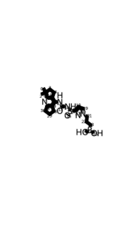 CC1(C)CCc2c1nc1c(c2NC(=O)N[S+]([O-])c2ccn(CCCB(O)O)n2)CCC1